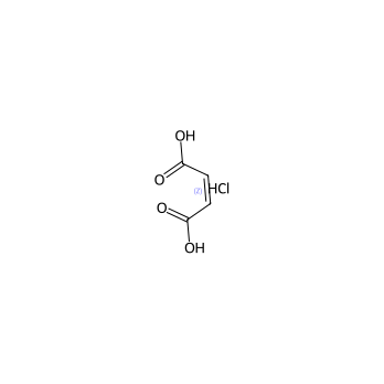 Cl.O=C(O)/C=C\C(=O)O